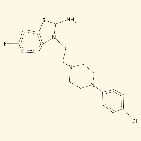 NC1Sc2cc(F)ccc2N1CCN1CCN(c2ccc(Cl)cc2)CC1